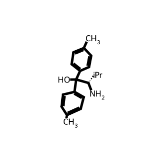 Cc1ccc(C(O)(c2ccc(C)cc2)[C@@H](N)C(C)C)cc1